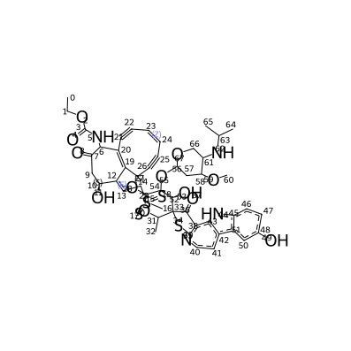 CCOC(=O)NC1C(=O)C[C@H](O)/C(=C/CS(C)(=S)=S)C2=C1C#C/C=C\C#C[C@@H]2OC1OC(C)C(SC)(C(=O)c2nccc3c2[nH]c2ccc(O)cc23)C(O)C1OC1CC(OC)C(NC(C)C)CO1